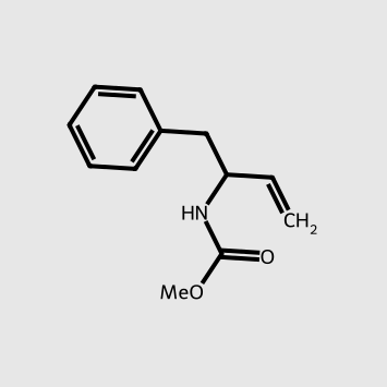 C=CC(Cc1ccccc1)NC(=O)OC